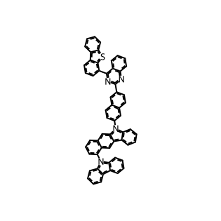 c1cc(-n2c3ccccc3c3ccccc32)c2cc3c4ccccc4n(-c4ccc5cc(-c6nc(-c7cccc8c7sc7ccccc78)c7ccccc7n6)ccc5c4)c3cc2c1